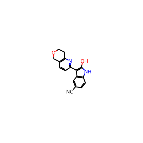 N#Cc1ccc2[nH]c(O)c(-c3ccc4c(n3)CCOC4)c2c1